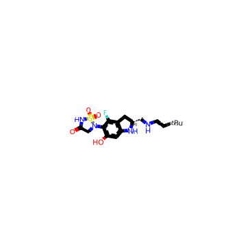 CC(C)(C)CCNC[C@H]1Cc2c(cc(O)c(N3CC(=O)NS3(=O)=O)c2F)N1